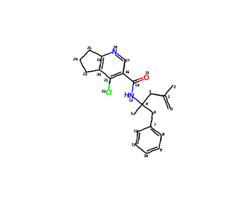 C=C(C)CC(C)(Cc1ccccc1)NC(=O)c1cnc2c(c1Cl)CCC2